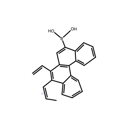 C=Cc1c(/C=C\C)c2ccccc2c2c1cc(B(O)O)c1ccccc12